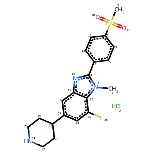 Cl.Cn1c(-c2ccc(S(C)(=O)=O)cc2)nc2cc(C3CCNCC3)cc(F)c21